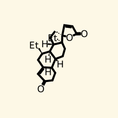 CC[C@@H]1CC2=CC(=O)CC[C@@H]2[C@H]2CC[C@@]3(CC)[C@@H](CC[C@@]34C=CC(=O)O4)[C@H]12